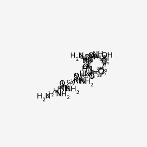 NCCC[C@H](N)CNC(=O)[C@@H](N)CCCNC(=O)[C@@H](N)CCNC(=O)[C@@H]1Cc2cccc(c2)-c2ccc(O)c(c2)C[C@H](N)C(=O)N[C@@H](C[C@@H](O)CN)C(=O)N1